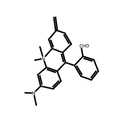 C=c1ccc2c(c1)[Si](C)(C)c1cc(N(C)C)ccc1C=2c1ccccc1C=O